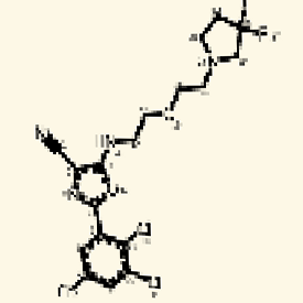 N#Cc1nc(-c2cc(Cl)cc(Cl)c2Cl)oc1NCCOCCN1CCC(F)(F)C1